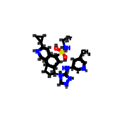 Cc1cncc(Nc2nncn2[C@@H]2CCc3c2cc(S(=O)(=O)NCC(C)C)c2cc(C4CC4)ncc32)c1